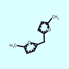 Cc1ccc(Cc2ccc(C)o2)o1